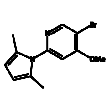 COc1cc(-n2c(C)ccc2C)ncc1Br